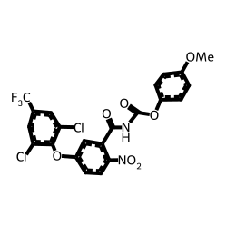 COc1ccc(OC(=O)NC(=O)c2cc(Oc3c(Cl)cc(C(F)(F)F)cc3Cl)ccc2[N+](=O)[O-])cc1